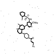 COc1ncc(-c2cc(C)c3nccc(N4CCN(C(=O)C=CC(C)=O)CC4)c3c2)cc1NS(=O)(=O)c1ccccc1F